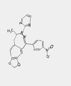 CC1Cc2cc3c(cc2C(c2ccc([N+](=O)[O-])cc2)=NN1c1ncccn1)OCO3